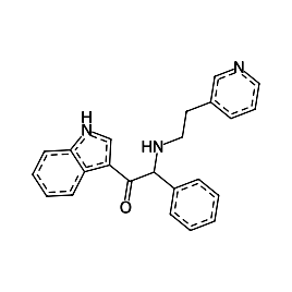 O=C(c1c[nH]c2ccccc12)C(NCCc1cccnc1)c1ccccc1